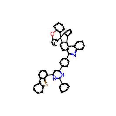 c1ccc(-c2nc(-c3ccc(-c4nc5ccccc5c5c6c(ccc45)C4(c5ccccc5Oc5ccccc54)c4ccccc4-6)cc3)cc(-c3cccc4c3sc3ccccc34)n2)cc1